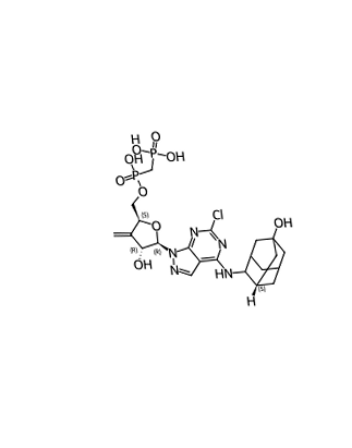 C=C1[C@@H](O)[C@H](n2ncc3c(NC4C5CC6C[C@H]4CC(O)(C6)C5)nc(Cl)nc32)O[C@@H]1COP(=O)(O)CP(=O)(O)O